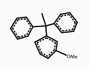 COc1cccc(C(C)(c2ccccc2)c2ccccc2)c1